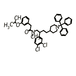 CC(C)Oc1cccc(CC(=O)N(C)CC(CCC2CCN(C(c3ccccc3)(c3ccccc3)c3ccccc3)CC2)c2ccc(Cl)c(Cl)c2)c1